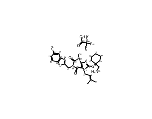 CC(C)=CCn1c(SC2(CN)CCCCC2)nc2c1c(=O)n(Cc1nc3cc(Cl)ccc3o1)c(=O)n2C.O=C(O)C(F)(F)F